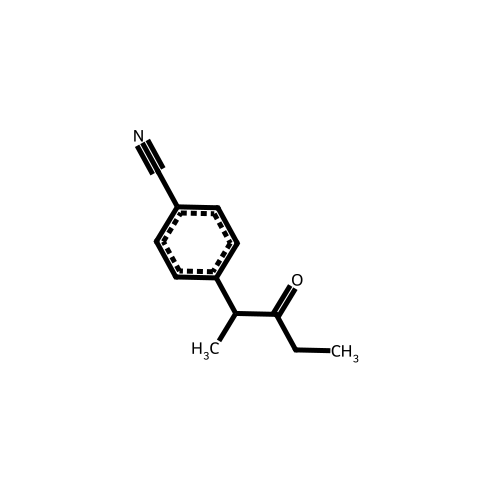 CCC(=O)C(C)c1ccc(C#N)cc1